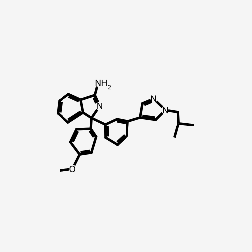 COc1ccc(C2(c3cccc(-c4cnn(CC(C)C)c4)c3)N=C(N)c3ccccc32)cc1